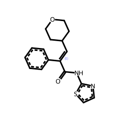 O=C(Nc1nccs1)/C(=C/C1CCOCC1)c1ccccc1